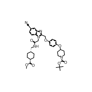 COC(=O)[C@H]1CC[C@H](CNC(=O)Cn2c(COc3ccc(OC4CCN(C(=O)OC(C)(C)C)CC4)cc3)nc3cc(C#N)ccc32)CC1